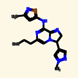 CNCCC1=CN2C(=NCC2c2cnn(C)c2)C(Nc2cc(C)ns2)=N1